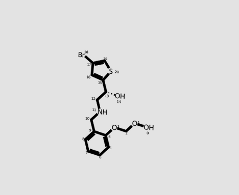 OOCOc1ccccc1CNC[C@@H](O)c1cc(Br)cs1